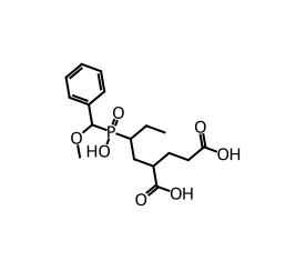 CCC(CC(CCC(=O)O)C(=O)O)P(=O)(O)C(OC)c1ccccc1